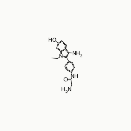 CCn1c(-c2ccc(NC(=O)CN)cc2)c(N)c2ccc(O)cc21